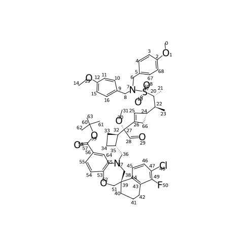 COc1ccc(CN(Cc2ccc(OC)cc2)S(=O)(=O)[C@H](C)[C@@H](C)[C@H]2C=C([C@](C=O)(OC)[C@@H]3CC[C@H]3CN3C[C@@]4(CCCc5c4ccc(Cl)c5F)COc4ccc(C(=O)OC(C)(C)C)cc43)C2)cc1